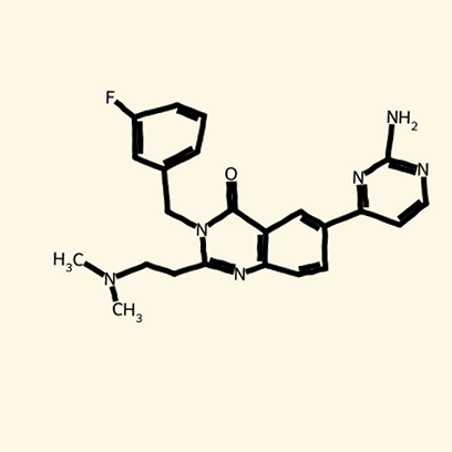 CN(C)CCc1nc2ccc(-c3ccnc(N)n3)cc2c(=O)n1Cc1cccc(F)c1